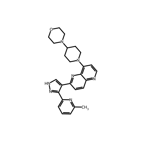 Cc1cccc(-c2n[nH]cc2-c2ccc3nccc(N4CCC(N5CCOCC5)CC4)c3n2)n1